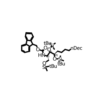 CCCCCCCCCCCCCC[C@@H](O[Si](C)(C)C(C)(C)C)[C@@H](O[Si](C)(C)C(C)(C)C)[C@H](CO[Si](C)(C)C(C)(C)C)NC(=O)OCC1c2ccccc2-c2ccccc21